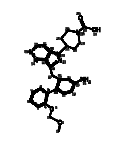 COCOc1ccccc1-c1ccc(N)cc1Cc1nn(C2CCN(C(=O)O)CC2)c2ccnnc12